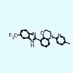 Cc1ccc(N2CCOc3c(-c4nc5ccc(C(F)(F)F)cc5[nH]4)cccc32)nc1